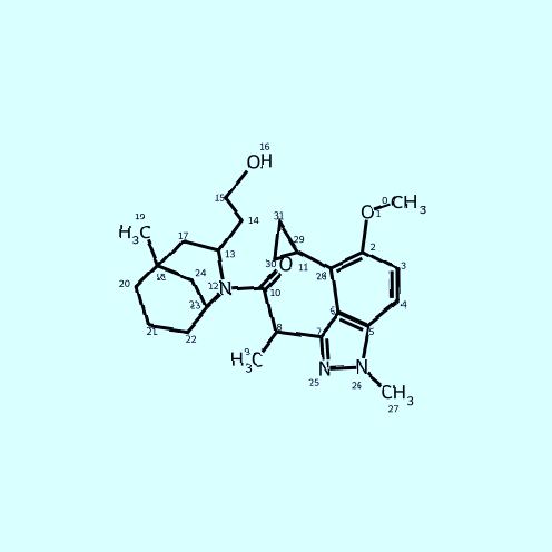 COc1ccc2c(c(C(C)C(=O)N3C(CCO)CC4(C)CCCC3C4)nn2C)c1C1CC1